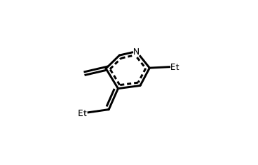 C=c1cnc(CC)c/c1=C/CC